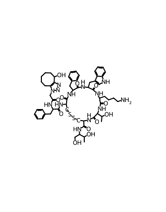 CC(O)C(CO)NC(=O)C1CSSCC(NC(=O)C(Cc2ccccc2)NC(=O)Cn2nnc3c2CCCCCC3O)C(=O)NC(Cc2ccccc2)C(=O)NC(Cc2c[nH]c3ccccc23)C(=O)NC(CCCCN)C(=O)NC(C(C)O)C(=O)N1